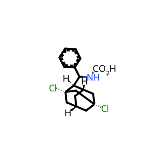 O=C(O)NC(c1ccccc1)[C@H]1[C@H]2C[C@@H]3C[C@](Cl)(C2)C[C@@]1(Cl)C3